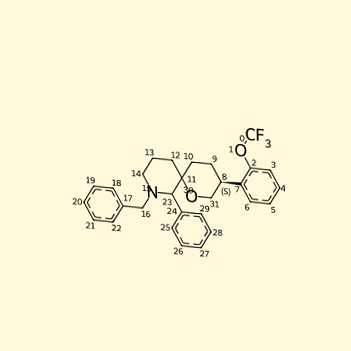 FC(F)(F)Oc1ccccc1[C@@H]1CCC2(CCCN(Cc3ccccc3)C2c2ccccc2)OC1